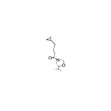 CC(C)C1CN(C(=O)CCCC2CC2)CCO1